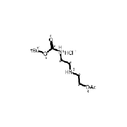 CC(=O)OCCNCCNC(=O)OC(C)(C)C.Cl